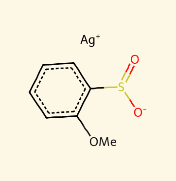 COc1ccccc1S(=O)[O-].[Ag+]